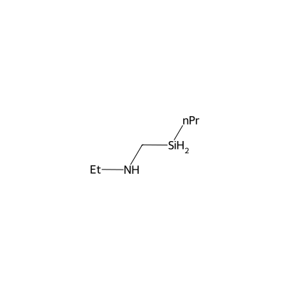 CCC[SiH2]CNCC